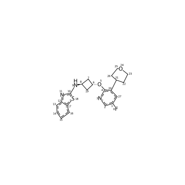 Fc1cnc(O[C@H]2C[C@H](Nc3nc4ccccc4s3)C2)c(C2CCOCC2)c1